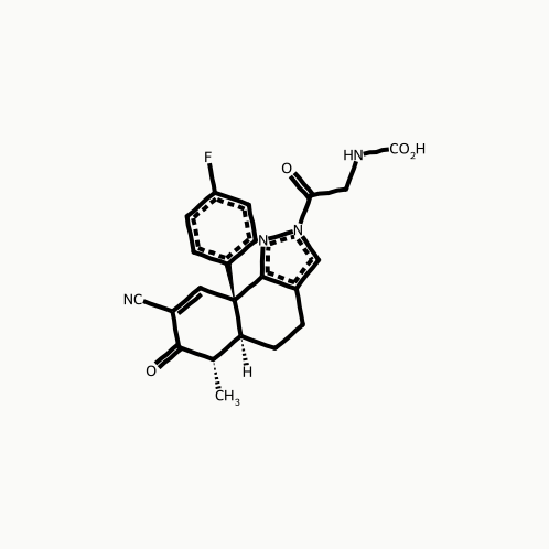 C[C@@H]1C(=O)C(C#N)=C[C@]2(c3ccc(F)cc3)c3nn(C(=O)CNC(=O)O)cc3CC[C@@H]12